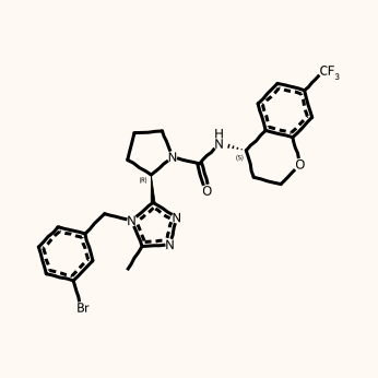 Cc1nnc([C@H]2CCCN2C(=O)N[C@H]2CCOc3cc(C(F)(F)F)ccc32)n1Cc1cccc(Br)c1